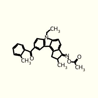 CCn1c2ccc(C(=O)c3ccccc3C)cc2c2c3c(ccc21)C(=NOC(C)=O)C(C)C3